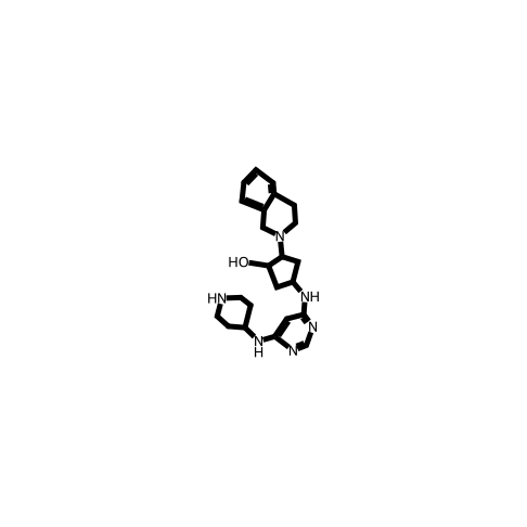 OC1CC(Nc2cc(NC3CCNCC3)ncn2)CC1N1CCc2ccccc2C1